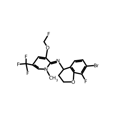 Cn1cc(C(F)(F)F)cc(OCF)/c1=N/C1CCOc2c1ccc(Br)c2F